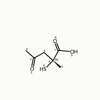 CC(=O)C[C@@](C)(S)C(=O)O